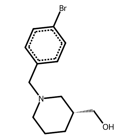 OC[C@@H]1CCCN(Cc2ccc(Br)cc2)C1